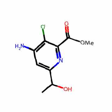 COC(=O)c1nc(C(C)O)cc(N)c1Cl